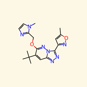 Cc1cc(-c2nnc3cc(C(C)(C)C)c(OCc4nccn4C)nn23)no1